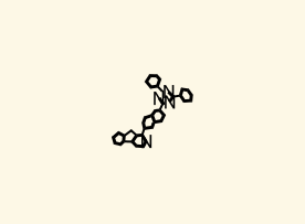 c1ccc(-c2nc(-c3ccccc3)nc(-c3ccc4cc(-c5nccc6c5Cc5ccccc5-6)ccc4c3)n2)cc1